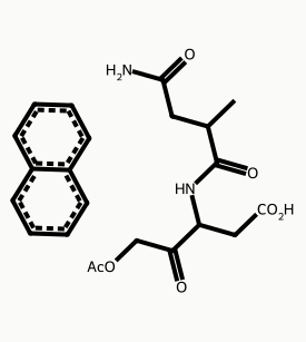 CC(=O)OCC(=O)C(CC(=O)O)NC(=O)C(C)CC(N)=O.c1ccc2ccccc2c1